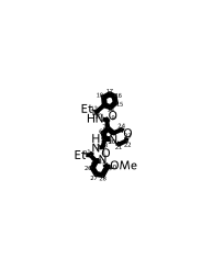 CCC(NC(=O)c1cc(C(=O)N[C@H](CC)c2ccccc2)c2n1CCOC2)c1cccc(OC)n1